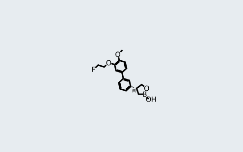 COc1ccc(-c2cccc([C@@H]3COB(O)C3)c2)cc1OCCF